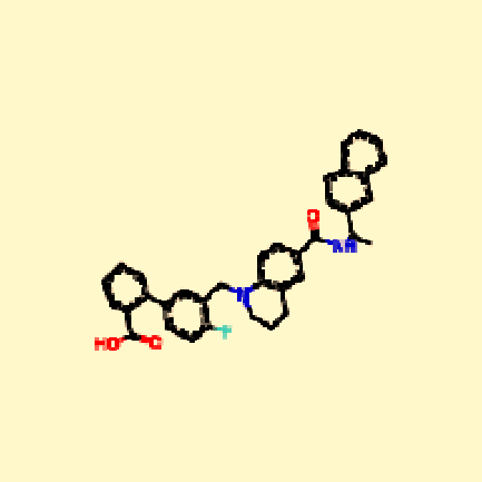 CC(NC(=O)c1ccc2c(c1)CCCN2Cc1cc(-c2ccccc2C(=O)O)ccc1F)c1ccc2ccccc2c1